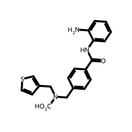 Nc1ccccc1NC(=O)c1ccc(CN(Cc2ccsc2)C(=O)O)cc1